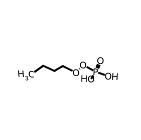 CCCCOOP(=O)(O)O